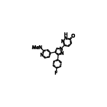 CNc1cc(-c2cn(-c3ccc(=O)[nH]n3)nc2-c2ccc(F)cc2)ccn1